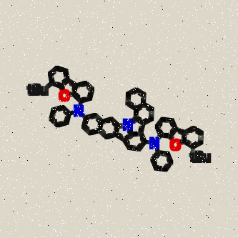 CC(C)(C)c1cccc2c1oc1c(N(c3ccccc3)c3ccc4cc5c6ccc(N(c7ccccc7)c7cccc8c7oc7c(C(C)(C)C)cccc78)c7c8ccc9ccccc9c8n(c5cc4c3)c67)cccc12